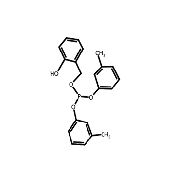 Cc1cccc(OP(OCc2ccccc2O)Oc2cccc(C)c2)c1